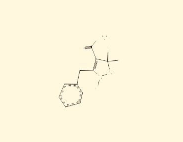 COC(=O)C1=C(Cc2ccccc2)N(C)NC1(S)Cl